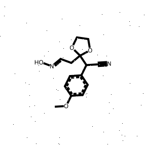 COc1ccc(C(C#N)C2(CC=NO)OCCO2)cc1